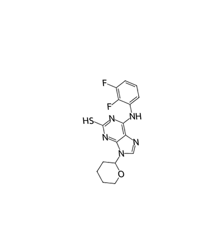 Fc1cccc(Nc2nc(S)nc3c2ncn3C2CCCCO2)c1F